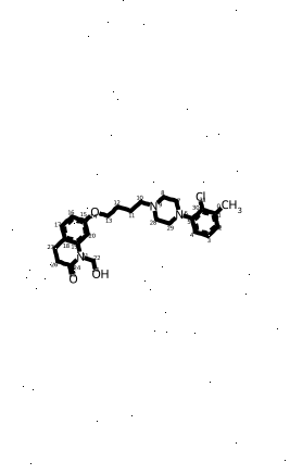 Cc1cccc(N2CCN(CCCCOc3ccc4c(c3)N(CO)C(=O)CC4)CC2)c1Cl